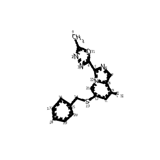 Cc1nnc(-c2ncc3c(F)cc(SCc4ccccc4)cn23)o1